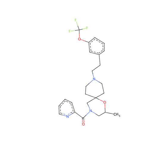 CC1CN(C(=O)c2ccccn2)CC2(CCN(CCc3cccc(OC(F)(F)F)c3)CC2)O1